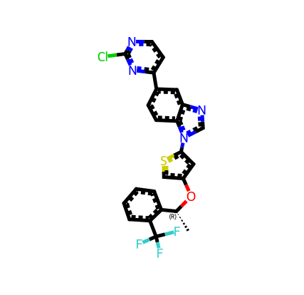 C[C@@H](Oc1csc(-n2cnc3cc(-c4ccnc(Cl)n4)ccc32)c1)c1ccccc1C(F)(F)F